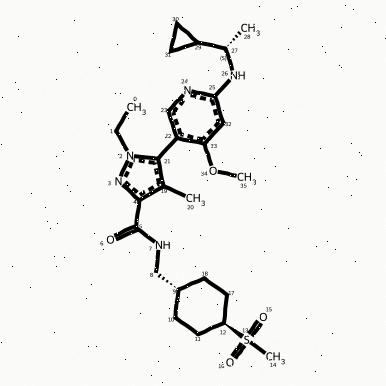 CCn1nc(C(=O)NC[C@H]2CC[C@H](S(C)(=O)=O)CC2)c(C)c1-c1cnc(N[C@@H](C)C2CC2)cc1OC